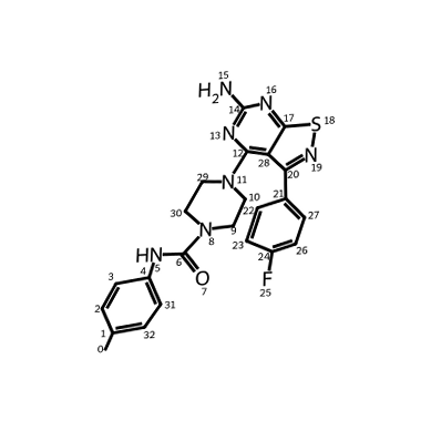 Cc1ccc(NC(=O)N2CCN(c3nc(N)nc4snc(-c5ccc(F)cc5)c34)CC2)cc1